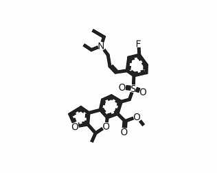 CCN(CC)C/C=C\c1cc(F)ccc1S(=O)(=O)Cc1ccc2c(c1C(=O)OC)OC(C)c1occc1-2